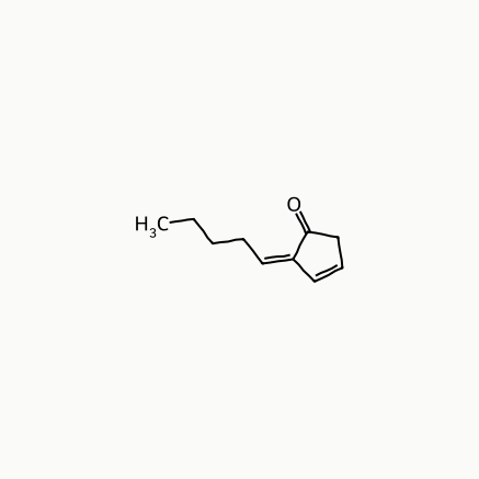 CCCCC=C1C=CCC1=O